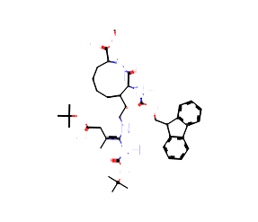 COC(=O)C1CCCCC(CCN/C(NC(=O)OC(C)(C)C)=C(/C)CC(=O)OC(C)(C)C)C(NC(=O)OCC2c3ccccc3-c3ccccc32)C(=O)N1